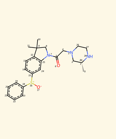 C[C@@H]1CN(CC(=O)N2CC(C)(C)c3ccc([S+]([O-])c4ccccc4)cc32)CCN1